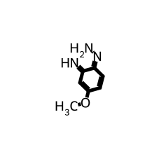 COC1=CC(=N)/C(=N\N)C=C1